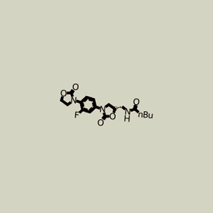 CCCCC(=O)NC[C@H]1CN(c2ccc(N3CCOC3=O)c(F)c2)C(=O)O1